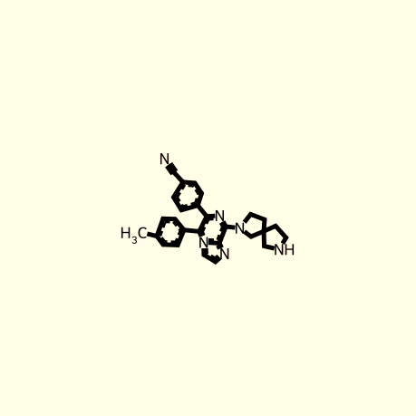 Cc1ccc(-c2c(-c3ccc(C#N)cc3)nc(N3CCC4(CCNC4)C3)c3nccn23)cc1